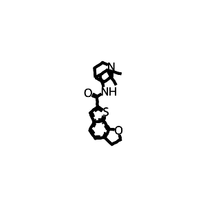 CC1(C)C(NC(=O)c2cc3ccc4c(c3s2)OCC4)C2CCN1CC2